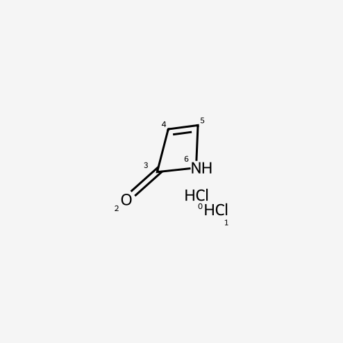 Cl.Cl.O=C1C=CN1